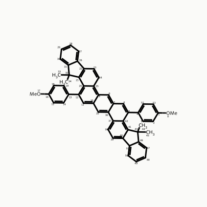 COc1ccc(-c2cc3cc4c(cc(-c5ccc(OC)cc5)c5c6c(ccc54)-c4ccccc4C6(C)C)cc3c3ccc4c(c23)C(C)(C)c2ccccc2-4)cc1